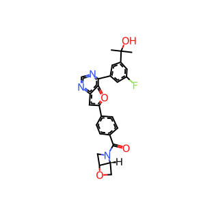 CC(C)(O)c1cc(F)cc(-c2ncnc3cc(-c4ccc(C(=O)N5CC6OC[C@H]65)cc4)oc23)c1